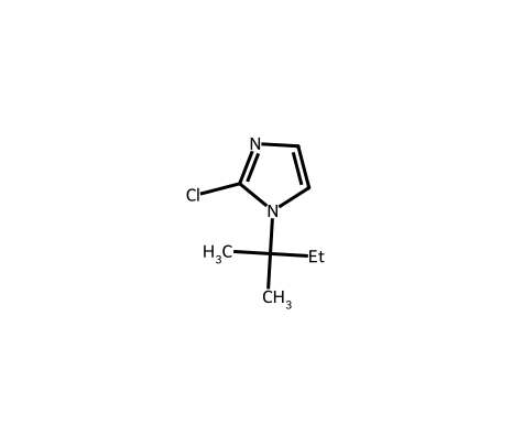 CCC(C)(C)n1ccnc1Cl